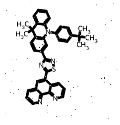 CC(C)(C)c1ccc(N2c3ccccc3C(C)(C)c3ccc(-c4nsc(-c5cc6cccnc6c6ncccc56)n4)cc32)cc1